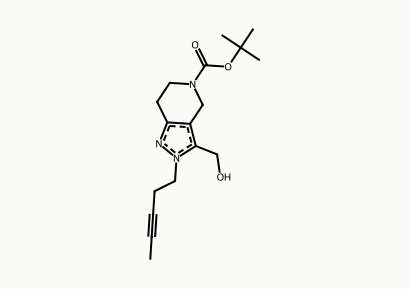 CC#CCCn1nc2c(c1CO)CN(C(=O)OC(C)(C)C)CC2